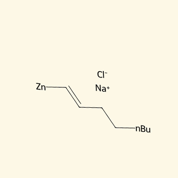 CCCCCCC=[CH][Zn].[Cl-].[Na+]